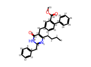 CCCCc1nc(Cc2ccccc2)[nH]c(=O)c1Cc1ccc(-c2ccccc2)c(C(=O)OC)c1